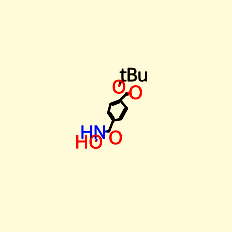 CC(C)(C)OC(=O)c1ccc(C(=O)NO)cc1